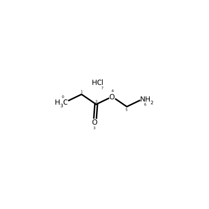 CCC(=O)OCN.Cl